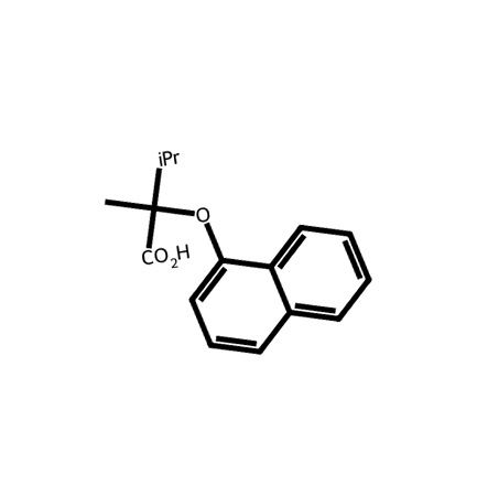 CC(C)C(C)(Oc1cccc2ccccc12)C(=O)O